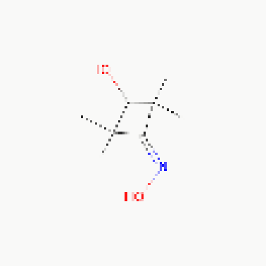 CC1(C)C(=NO)C(C)(C)C1O